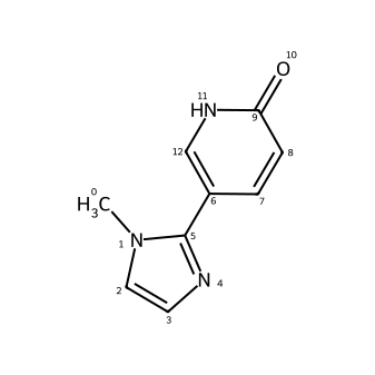 Cn1ccnc1-c1ccc(=O)[nH]c1